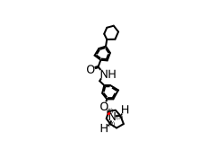 CN1[C@@H]2CC[C@H]1C[C@H](Oc1cccc(CNC(=O)c3ccc(C4CCCCC4)cc3)c1)C2